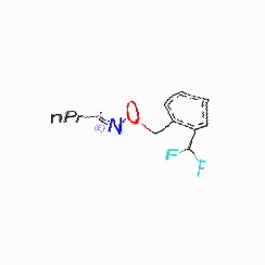 CCC/[C]=N/OCc1ccccc1C(F)F